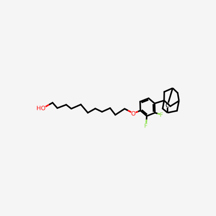 OCCCCCCCCCCCOc1ccc(C23CC4CC(CC(C4)C2)C3)c(F)c1F